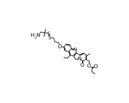 CCC(=O)OCc1c(C)cc2n(c1=O)Cc1c-2nc2ccc(OCCCSSC(C)(C)CN)cc2c1CC